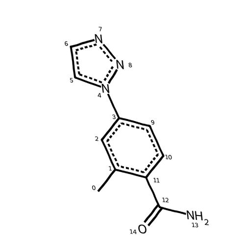 Cc1cc(-n2ccnn2)ccc1C(N)=O